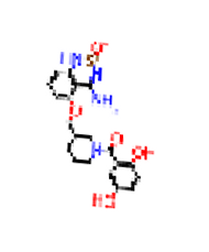 NC1=N[S+]([O-])Nc2cccc(OCC3CCCN(C(=O)c4cc(O)ccc4O)C3)c21